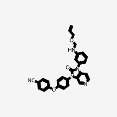 C=CCOCNc1cccc(-n2c(=O)n(-c3ccc(Oc4ccc(C#N)cc4)cc3)c3cnccc32)c1